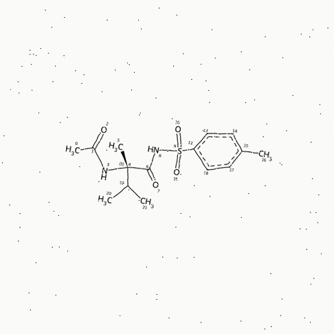 CC(=O)N[C@](C)(C(=O)NS(=O)(=O)c1ccc(C)cc1)C(C)C